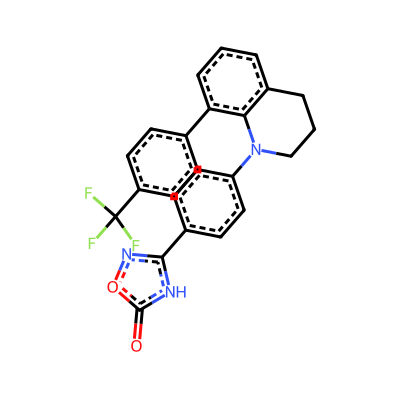 O=c1[nH]c(-c2ccc(N3CCCc4cccc(-c5ccc(C(F)(F)F)cc5)c43)cc2)no1